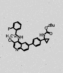 C[C@@H](Nc1c(Cl)cnc2ccc(-c3ccc(C4(NC(=O)OC(C)(C)C)CC4)cc3)cc12)c1ccccc1F